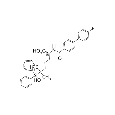 CC(C)(CCC[C@H](NC(=O)c1ccc(-c2ccc(F)cc2)cc1)C(=O)O)[Si](O)(c1ccccc1)c1ccccc1